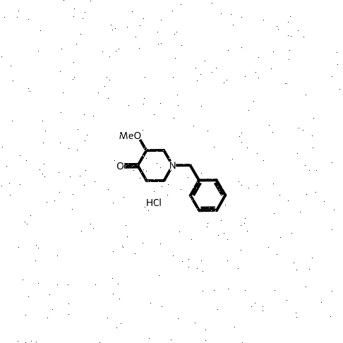 COC1CN(Cc2ccccc2)CCC1=O.Cl